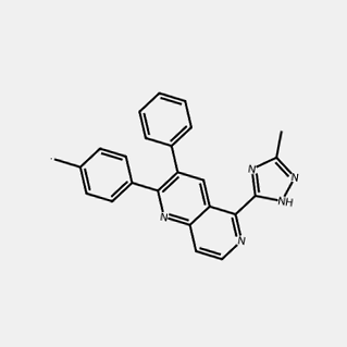 [CH2]c1ccc(-c2nc3ccnc(-c4nc(C)n[nH]4)c3cc2-c2ccccc2)cc1